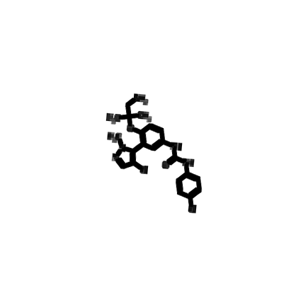 Cn1ncc(Cl)c1-c1cc(NC(=O)Nc2ccc(Cl)cc2)ccc1OC(C)(C)CN